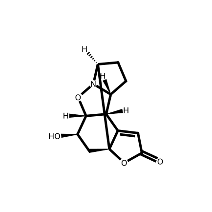 O=C1C=C2[C@@H]3[C@H]4ON5[C@@H]3CC[C@H]5[C@@]2(C[C@H]4O)O1